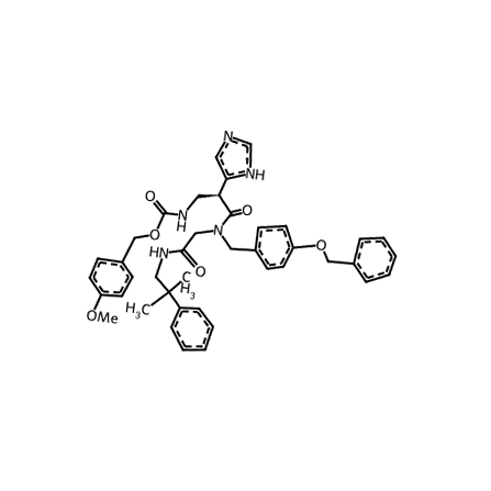 COc1ccc(COC(=O)NC[C@H](C(=O)N(CC(=O)NCC(C)(C)c2ccccc2)Cc2ccc(OCc3ccccc3)cc2)c2cnc[nH]2)cc1